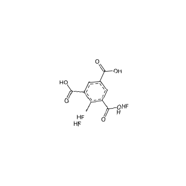 Cc1c(C(=O)O)cc(C(=O)O)cc1C(=O)O.F.F.F